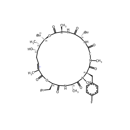 CCC(C)[C@@H]1NC(=O)CN(C)C(=O)[C@@H](Cc2ccc(F)cc2)N(C)C(=O)[C@H](C)NC(=O)[C@@H](CC(C)C)OC(=O)/C(C)=C/C[C@H](O)[C@H](C)[C@@H]([C@@H](C)CC)OC(=O)[C@@H](C)NC1=O